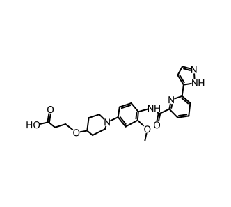 COc1cc(N2CCC(OCCC(=O)O)CC2)ccc1NC(=O)c1cccc(-c2ccn[nH]2)n1